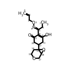 C=CCON=C(CC)C1=C(O)CC(C23CCOCC2O3)CC1=O